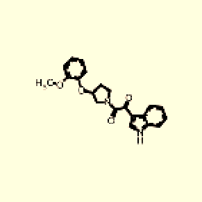 COc1ccccc1OC1CCN(C(=O)C(=O)c2c[nH]c3ccccc23)C1